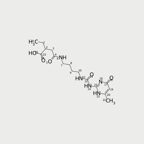 CCC(CC(=O)NCCCCNC(=O)Nc1nc(=O)cc(C)[nH]1)C(=O)O